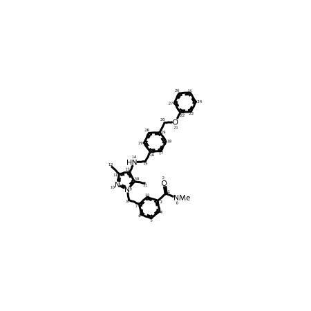 CNC(=O)c1cccc(Cn2nc(C)c(NCc3ccc(COc4ccccc4)cc3)c2C)c1